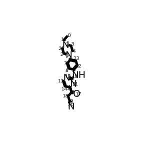 CCN1CCN(c2ccc(Nc3nccc(C(=O)CC#N)n3)cc2)CC1